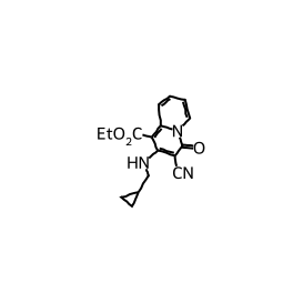 CCOC(=O)c1c(NCC2CC2)c(C#N)c(=O)n2ccccc12